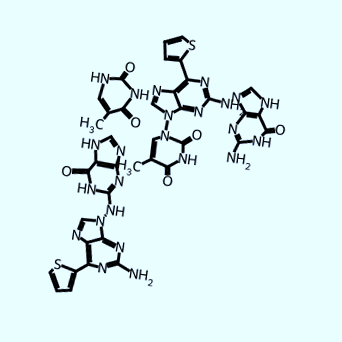 Cc1c[nH]c(=O)[nH]c1=O.Cc1cn(-n2cnc3c(-c4cccs4)nc(N)nc32)c(=O)[nH]c1=O.Nc1nc(-c2cccs2)c2ncn(Nc3nc4nc[nH]c4c(=O)[nH]3)c2n1.Nc1nc2nc[nH]c2c(=O)[nH]1